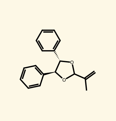 C=C(C)C1O[C@@H](c2ccccc2)[C@H](c2ccccc2)O1